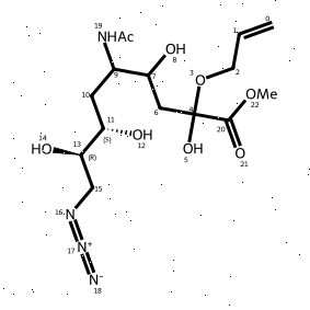 C=CCOC(O)(CC(O)C(C[C@H](O)[C@H](O)CN=[N+]=[N-])NC(C)=O)C(=O)OC